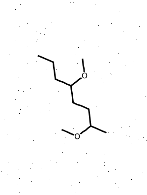 [CH2]C(CCC(CCC)OC)OC